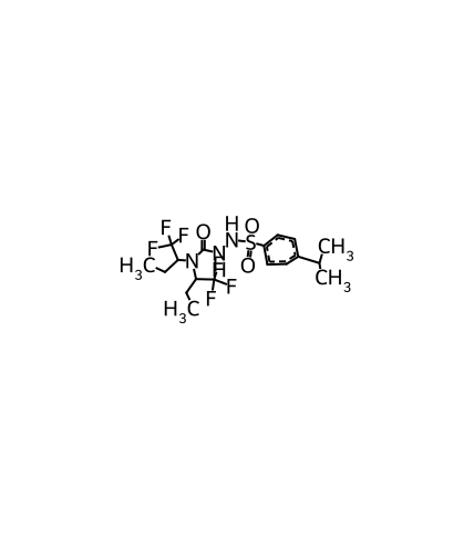 CCC(N(C(=O)NNS(=O)(=O)c1ccc(C(C)C)cc1)C(CC)C(F)(F)F)C(F)(F)F